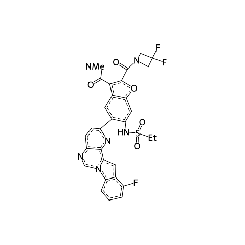 CCS(=O)(=O)Nc1cc2oc(C(=O)N3CC(F)(F)C3)c(C(=O)NC)c2cc1-c1ccc2ncn3c4cccc(F)c4cc3c2n1